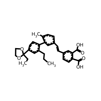 CCCc1cc(C2(CC)OCCO2)ccc1-c1cc(C=Cc2ccc(C(=O)O)c(C(=O)O)c2)ccc1C